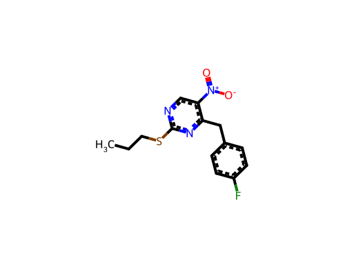 CCCSc1ncc([N+](=O)[O-])c(Cc2ccc(F)cc2)n1